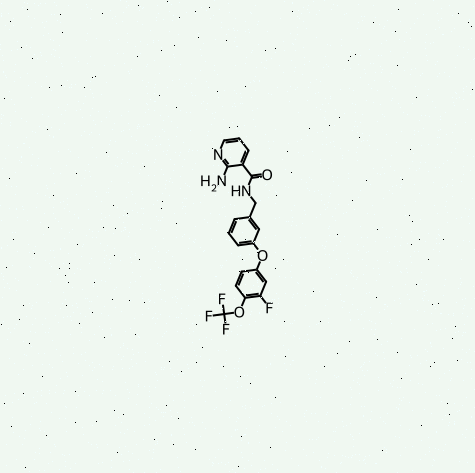 Nc1ncccc1C(=O)NCc1cccc(Oc2ccc(OC(F)(F)F)c(F)c2)c1